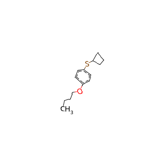 CCCCOc1ccc(SC2CCC2)cc1